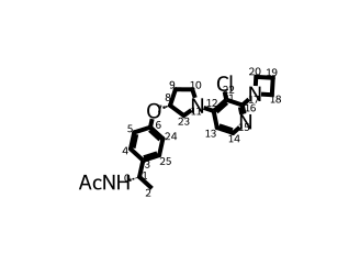 CC(=O)N[C@@H](C)c1ccc(O[C@@H]2CCN(c3ccnc(N4CCC4)c3Cl)C2)cc1